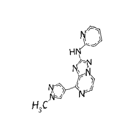 Cn1cc(-c2nccn3nc(Nc4ccccn4)nc23)cn1